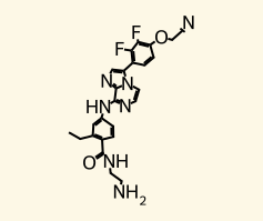 CCc1cc(Nc2nccn3c(-c4ccc(OCC#N)c(F)c4F)cnc23)ccc1C(=O)NCCN